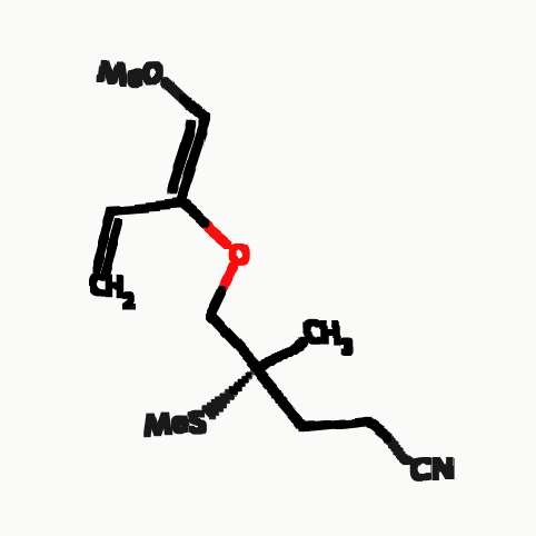 C=C/C(=C\OC)OC[C@@](C)(CCC#N)SC